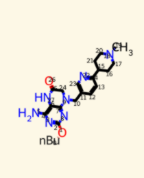 CCCCOc1nc(N)c2c(n1)N(Cc1ccc(C3CCN(C)CC3)nc1)CC(=O)N2